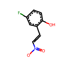 O=[N+]([O-])/C=C/c1cc(F)ccc1O